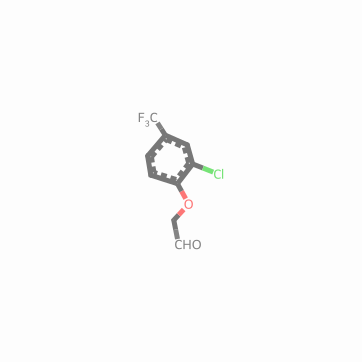 O=CCOc1ccc(C(F)(F)F)cc1Cl